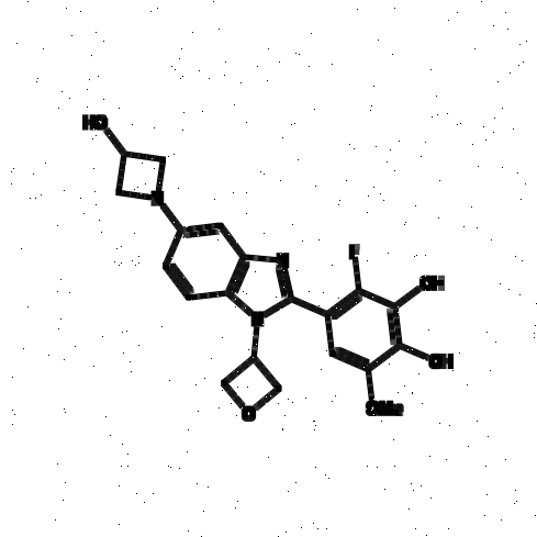 COc1cc(-c2nc3cc(N4CC(O)C4)ccc3n2C2COC2)c(F)c(O)c1O